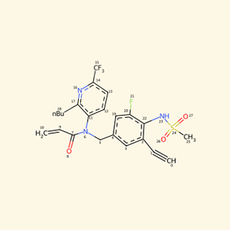 C#Cc1cc(CN(C(=O)C=C)c2ccc(C(F)(F)F)nc2CCCC)cc(F)c1NS(C)(=O)=O